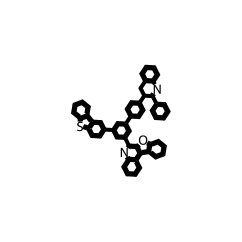 c1ccc(C2=Nc3ccccc3CC2c2ccc(-c3cc(-c4ccc5sc6ccccc6c5c4)cc(-c4nc5ccccc5c5c4oc4ccccc45)c3)cc2)cc1